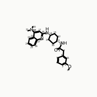 COc1cccc(CC(=O)N[C@H]2CC[C@@H](Nc3cc(N(C)C)c4ccccc4n3)CC2)c1